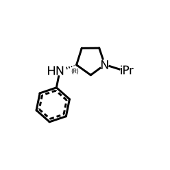 CC(C)N1CC[C@@H](Nc2ccccc2)C1